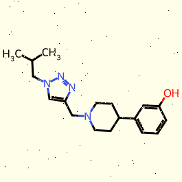 CC(C)Cn1cc(CN2CCC(c3cccc(O)c3)CC2)nn1